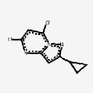 Clc1cc(Cl)n2nc(C3CC3)cc2n1